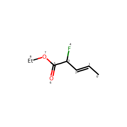 CC=CC(F)C(=O)OCC